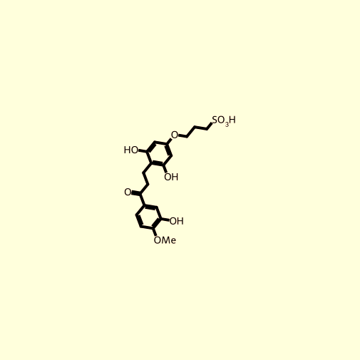 COc1ccc(C(=O)CCc2c(O)cc(OCCCS(=O)(=O)O)cc2O)cc1O